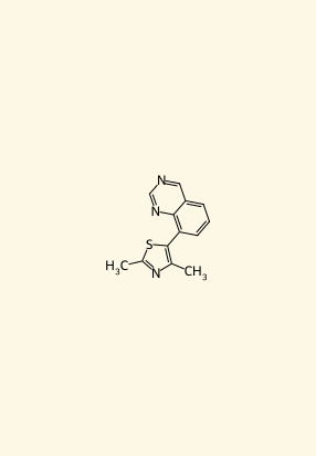 Cc1nc(C)c(-c2cccc3cncnc23)s1